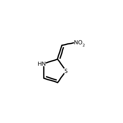 O=[N+]([O-])C=C1NC=CS1